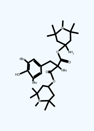 CCCCC(Cc1cc(C(C)(C)C)c(O)c(C(C)(C)C)c1)(C(=O)OC1CC(C)(C)N(C)C(C)(C)C1)C(=O)OC1(N)CC(C)(C)N(C)C(C)(C)C1